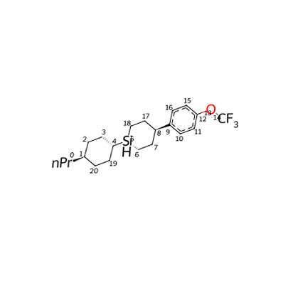 CCC[C@H]1CC[C@H]([Si@H]2CC[C@H](c3ccc(OC(F)(F)F)cc3)CC2)CC1